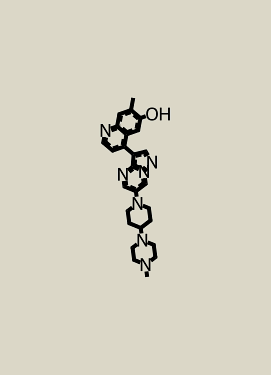 Cc1cc2nccc(-c3cnn4cc(N5CCC(N6CCN(C)CC6)CC5)cnc34)c2cc1O